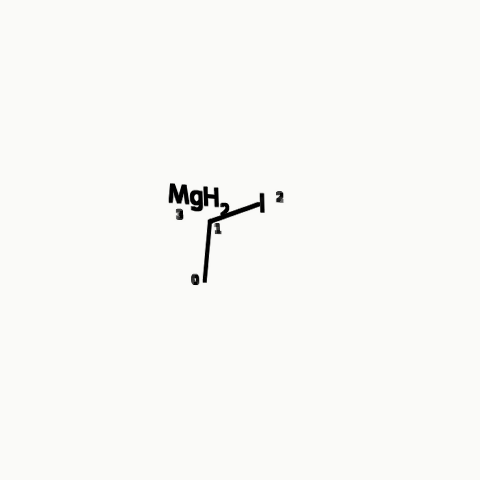 CCI.[MgH2]